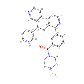 CN1CCN(C(=O)c2cccc(-c3ncccc3CC(c3cccnc3)c3cccnc3)c2)CC1